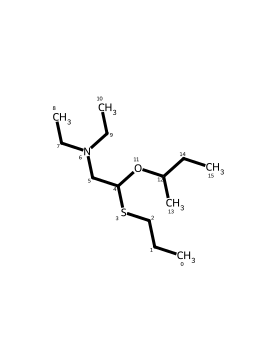 CCCSC(CN(CC)CC)OC(C)CC